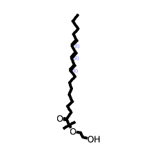 CCCC/C=C/C=C/C=C/CCCCCCCC(=O)C(C)(C)OCCO